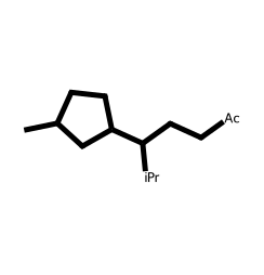 CC(=O)CCC(C(C)C)C1CCC(C)C1